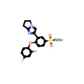 CNS(=O)(=O)c1ccc(Oc2ccc(F)cc2F)c(-c2cn3c(n2)CCC3)c1